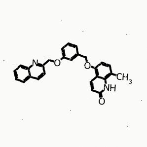 Cc1ccc(OCc2cccc(OCc3ccc4ccccc4n3)c2)c2ccc(=O)[nH]c12